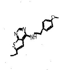 CCc1cc2c(NCCc3ccc(OC)cc3)ncnc2s1